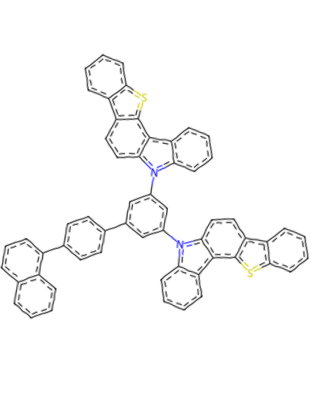 c1ccc2c(-c3ccc(-c4cc(-n5c6ccccc6c6c7sc8ccccc8c7ccc65)cc(-n5c6ccccc6c6c7sc8ccccc8c7ccc65)c4)cc3)cccc2c1